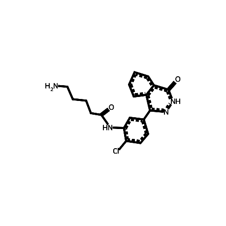 NCCCCC(=O)Nc1cc(-c2n[nH]c(=O)c3ccccc23)ccc1Cl